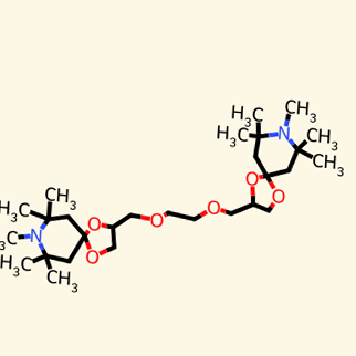 CN1C(C)(C)CC2(CC1(C)C)OCC(COCCOCC1COC3(CC(C)(C)N(C)C(C)(C)C3)O1)O2